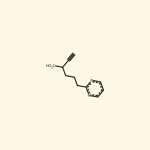 C#CC(CCCc1ncccn1)C(=O)O